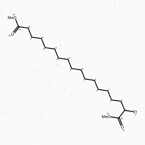 CCC(CCCCCCCCCCCCCCCC(=O)OC)C(=O)OC